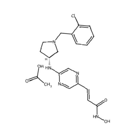 CC(=O)O.O=C(C=Cc1cnc(N[C@@H]2CCN(Cc3ccccc3Cl)C2)cn1)NO